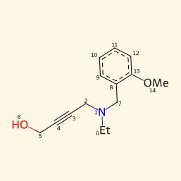 CCN(CC#CCO)Cc1ccccc1OC